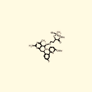 COC(=O)C(CCON=C1NC(c2ccc(F)cc2-c2cccc(OC)n2)Cc2nc(N)nc(C)c21)O[Si](C)(C)C(C)(C)C